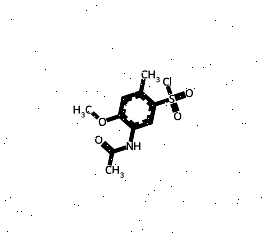 COc1cc(C)c(S(=O)(=O)Cl)cc1NC(C)=O